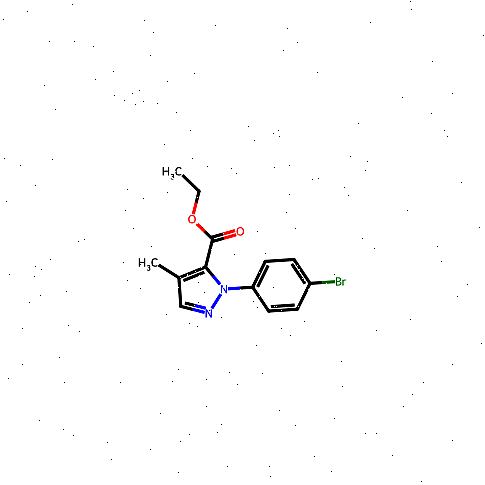 CCOC(=O)c1c(C)cnn1-c1ccc(Br)cc1